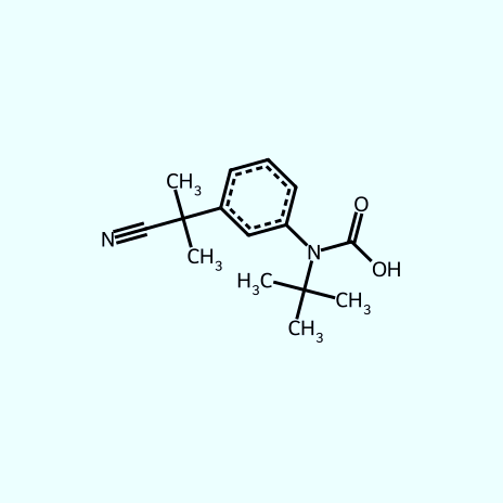 CC(C)(C#N)c1cccc(N(C(=O)O)C(C)(C)C)c1